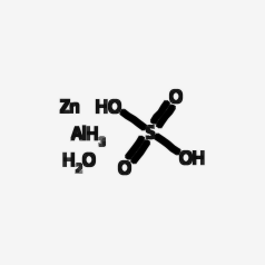 O.O=S(=O)(O)O.[AlH3].[Zn]